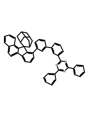 c1ccc(-c2nc(-c3ccccc3)nc(-c3cccc(-c4cccc(-c5cccc6c5C5(c7c-6ccc6ccccc76)C6CC7CC(C6)CC5C7)c4)c3)n2)cc1